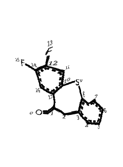 O=C1Cc2ccccc2Sc2cc(F)c(F)cc21